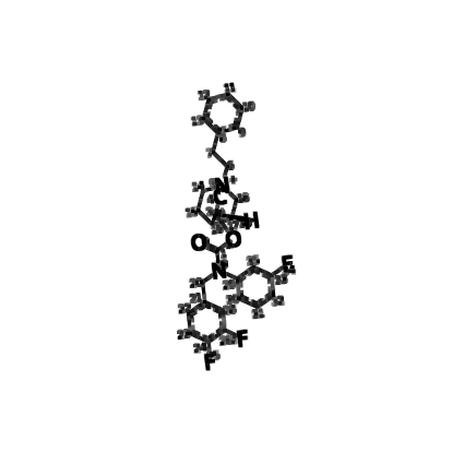 O=C(O[C@H]1C[N+]2(CCc3ccccc3)CCC1CC2)N(Cc1ccc(F)c(F)c1)c1cccc(F)c1